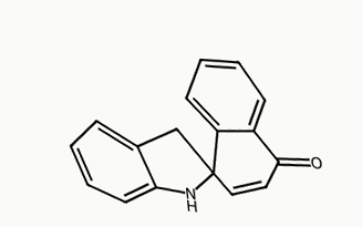 O=C1C=CC2(Cc3ccccc3N2)c2ccccc21